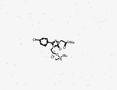 COC(=O)Cn1nc(-c2ccc(Cl)cc2)n(C[C@H](O[Si](C)(C)C(C)(C)C)C(F)(F)F)c1=O